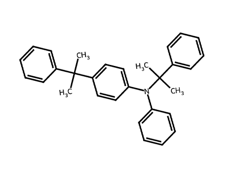 CC(C)(c1ccccc1)c1ccc(N(c2ccccc2)C(C)(C)c2ccccc2)cc1